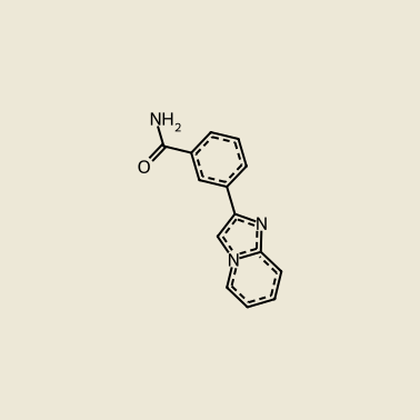 NC(=O)c1cccc(-c2cn3ccccc3n2)c1